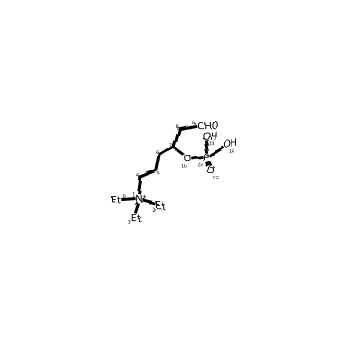 CC[N+](CC)(CC)CCCC(CC=O)OP(=O)(O)O